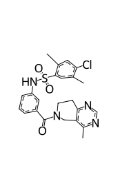 Cc1cc(S(=O)(=O)Nc2cccc(C(=O)N3CCc4ncnc(C)c4C3)c2)c(C)cc1Cl